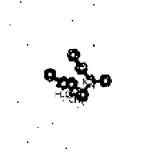 CC1(C)c2cccc(-c3nc(-c4ccccc4)cc(-c4ccc(-c5ccccc5)cc4)n3)c2-c2ccc3cc(-c4ccccc4)ccc3c21